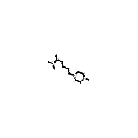 CC(CCCCN1CCN(C)CC1)N(C)C